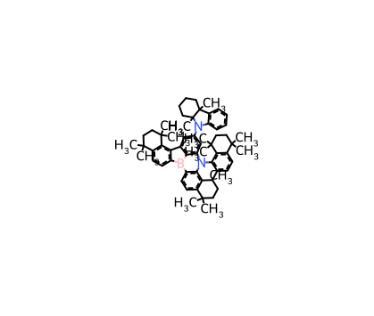 CC1(C)CCC(C)(C)c2c1ccc1c2-c2cc(N3c4ccccc4C4(C)CCCCC34C)cc3c2B1c1ccc2c4c1N3c1c(ccc3c1C(C)(C)CCC3(C)C)C4(C)CCC2(C)C